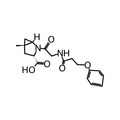 C[C@@]12C[C@@H]1N(C(=O)CNC(=O)CCOc1ccccc1)[C@H](C(=O)O)C2